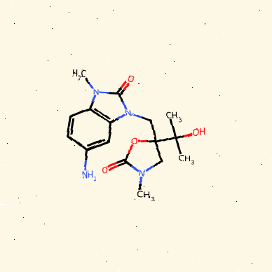 CN1CC(Cn2c(=O)n(C)c3ccc(N)cc32)(C(C)(C)O)OC1=O